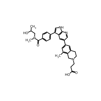 Cc1cc(-c2cnc3[nH]cc(-c4ccc(C(=O)N(C)CC(C)O)cc4)c3c2)cc2c1CN(CCC(=O)O)CC2